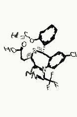 COc1ccccc1[C@H]1S[C@H](CC(=O)O)c2nnc(C(F)(F)F)n2-c2ccc(Cl)cc21